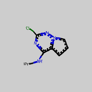 CC(C)Nc1nc(Cl)nn2cccc12